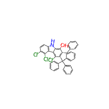 Oc1c(Cc2ccccc2)c(C(c2ccccc2)(c2ccccc2)c2ccccc2)c(Cl)c2c1[nH]c1ccc(Cl)c(Cl)c12